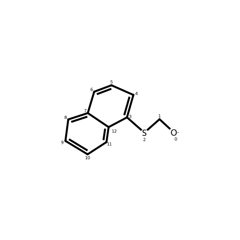 [O]CSc1cccc2ccccc12